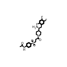 CC(=O)Nc1ccc(S(=O)(=O)CCC(=O)N2CCC([C@H](N)Cc3cc(F)c(F)cc3F)CC2)cc1